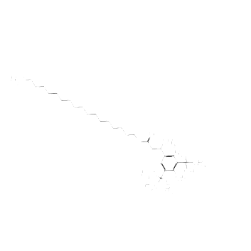 CCCCCCCCCCCCCCCCCCOC(=O)CC(C)c1cc(C(C)(C)C)c(O)c(C(C)(C)C)c1